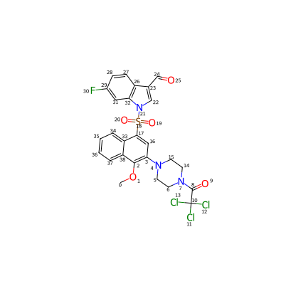 COc1c(N2CCN(C(=O)C(Cl)(Cl)Cl)CC2)cc(S(=O)(=O)n2cc(C=O)c3ccc(F)cc32)c2ccccc12